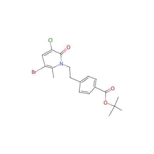 Cc1c(Br)cc(Cl)c(=O)n1CCc1ccc(C(=O)OC(C)(C)C)cc1